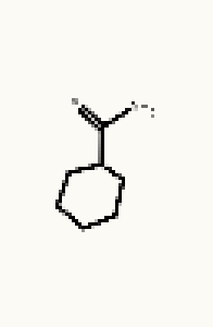 NC(=S)C1CCCCC1